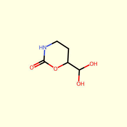 O=C1NCCC(C(O)O)O1